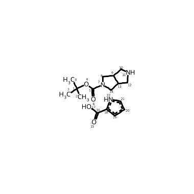 CC(C)(C)OC(=O)N1CC2CNCC2C1.O=C(O)c1ccc[nH]1